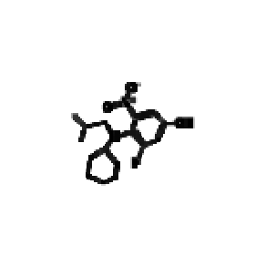 CC(C)CN(c1c(F)cc(O)cc1[N+](=O)[O-])C1CCCCC1